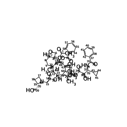 CC(=O)O[C@@]12CO[C@@H]1CC[C@@]1(C)[C@@H]3O[C@H](CN4CC[C@H]4CO)O[C@@H]3C3=C(C)[C@@H](OC(=O)[C@H](O)[C@@H](NC(=O)c4ccccc4)C4CC4)C[C@@](O)([C@@H](OC(=O)c4ccccc4)[C@@H]12)C3(C)C